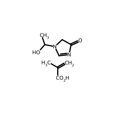 C=C(C)C(=O)O.CC(O)N1C=NC(=O)C1